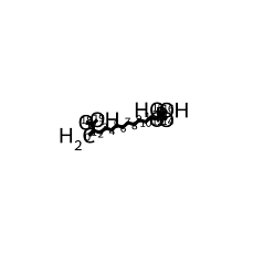 C=C(CCCCCCCCCCOP(=O)(O)O)C(=O)O